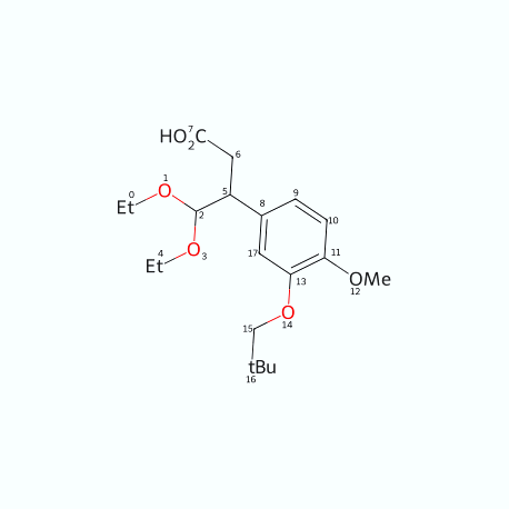 CCOC(OCC)C(CC(=O)O)c1ccc(OC)c(OCC(C)(C)C)c1